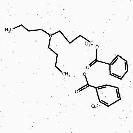 CCCCN(CCCC)CCCC.O=C([O-])c1ccccc1.O=C([O-])c1ccccc1.[Cu+2]